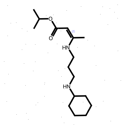 C/C(=C/C(=O)OC(C)C)NCCCNC1CCCCC1